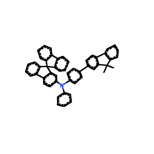 CC1(C)c2ccccc2-c2ccc(-c3ccc(N(c4ccccc4)c4ccc5c(c4)C4(c6ccccc6-c6ccccc64)c4ccccc4-5)cc3)cc21